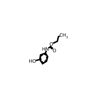 CCCOC(=O)Nc1cccc(O)c1